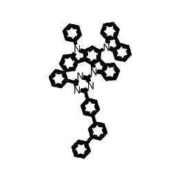 c1ccc(-c2cccc(-c3ccc(-c4nc(-c5ccccc5)nc(-n5c6ccccc6c6c(-n7c8ccccc8c8ccccc87)cc7c(c8ccccc8n7-c7ccccc7)c65)n4)cc3)c2)cc1